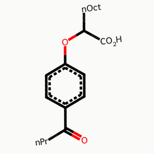 CCCCCCCCC(Oc1ccc(C(=O)CCC)cc1)C(=O)O